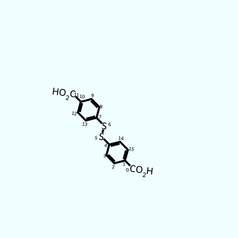 O=C(O)c1ccc(SSc2ccc(C(=O)O)cc2)cc1